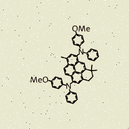 COc1ccc(N(c2ccccc2)c2cc(C)c3ccc4c(N(c5ccccc5)c5ccc(OC)cc5)cc5c6c(cc2c3c46)C(C)(C)CC5)cc1